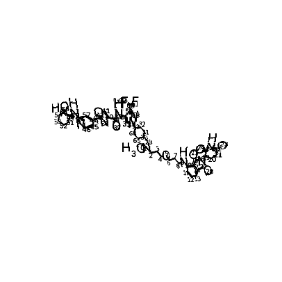 CN(CCCOCCCNc1cccc2c1C(=O)N(C1CCC(=O)NC1=O)C2=O)C[C@H]1CC[C@H](n2cc(NC(=O)c3coc(-c4ccnc(N[C@H]5CCCC[C@H]5O)c4)n3)c(C(F)F)n2)CC1